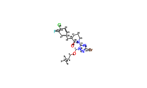 C[Si](C)(C)CCOCn1nc(Br)nc1N1CCCC(Cc2ccc(Cl)c(F)c2)C1=O